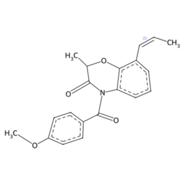 C/C=C\c1cccc2c1OC(C)C(=O)N2C(=O)c1ccc(OC)cc1